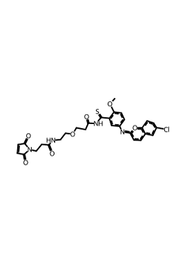 COc1ccc(/N=c2/ccc3cc(Cl)ccc3o2)cc1C(=S)NC(=O)CCOCCNC(=O)CCN1C(=O)C=CC1=O